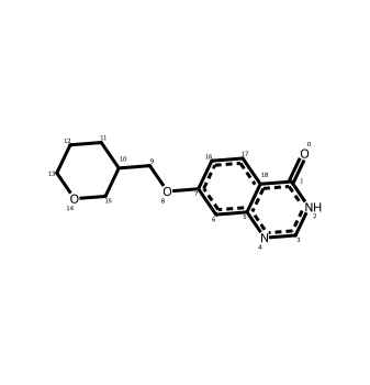 O=c1[nH]cnc2cc(OCC3CCCOC3)ccc12